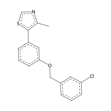 Cc1ncsc1-c1cccc(OCc2cccc(Cl)c2)c1